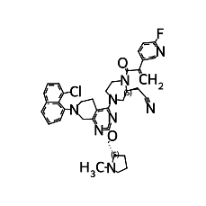 C=C(C(=O)N1CCN(c2nc(OC[C@@H]3CCCN3C)nc3c2CCN(c2cccc4cccc(Cl)c24)C3)C[C@@H]1CC#N)c1ccc(F)nc1